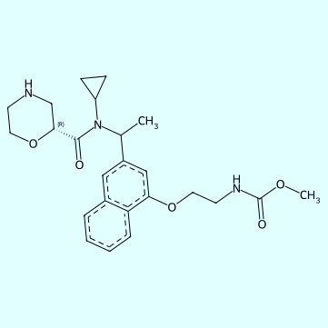 COC(=O)NCCOc1cc(C(C)N(C(=O)[C@H]2CNCCO2)C2CC2)cc2ccccc12